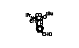 CC(C)N(C)C(=O)[C@@H](Cc1ccc(C=O)cc1)NC(=O)OC(C)(C)C